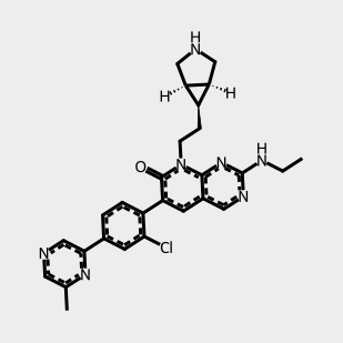 CCNc1ncc2cc(-c3ccc(-c4cncc(C)n4)cc3Cl)c(=O)n(CC[C@H]3[C@H]4CNC[C@@H]34)c2n1